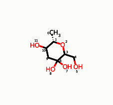 C[C@@H]1OC(CO)C(O)(O)CC1O